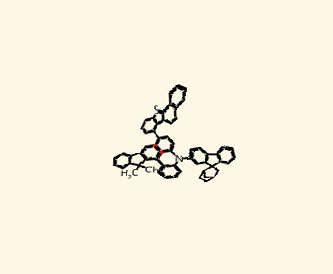 CC1(C)c2ccccc2-c2cccc(-c3ccccc3N(c3ccc(-c4cccc5sc6c7ccccc7ccc6c45)cc3)c3ccc4c(c3)C3(CC5CCC3C5)c3ccccc3-4)c21